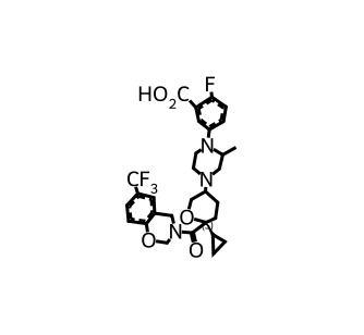 CC1CN(C2CC[C@@](C(=O)N3COc4ccc(C(F)(F)F)cc4C3)(C3CC3)OC2)CCN1c1ccc(F)c(C(=O)O)c1